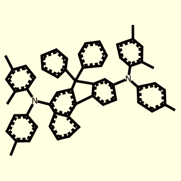 Cc1ccc(N(c2ccc3c(c2)C(c2ccccc2)(c2ccccc2)c2cc(N(c4ccc(C)cc4)c4ccc(C)cc4C)c4ccccc4c2-3)c2ccc(C)cc2C)cc1